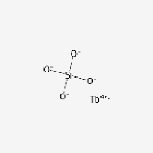 [O-][Si]([O-])([O-])[O-].[Tb+4]